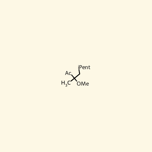 CCCC(C)CC(C)(OC)C(C)=O